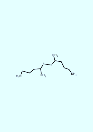 NCCCC(N)SSC(N)CCCN